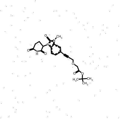 Cn1c(=O)n(C2CCC(=O)NC2=O)c2ccc(C#CCOCC(=O)OC(C)(C)C)cc21